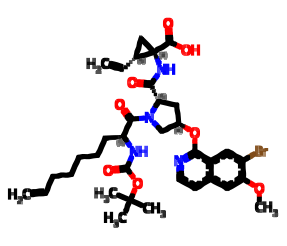 C=CCCCCC[C@H](NC(=O)OC(C)(C)C)C(=O)N1C[C@H](Oc2nccc3cc(OC)c(Br)cc23)C[C@H]1C(=O)N[C@]1(C(=O)O)C[C@H]1C=C